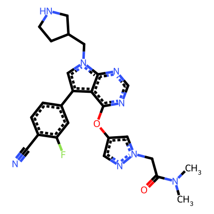 CN(C)C(=O)Cn1cc(Oc2ncnc3c2c(-c2ccc(C#N)c(F)c2)cn3CC2CCNC2)cn1